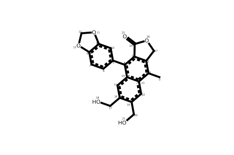 Cc1c2c(c(-c3ccc4c(c3)OCO4)c3cc(CO)c(CO)cc13)C(=O)OC2